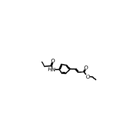 CCOC(=O)C=Cc1ccc(NC(=O)CC)cc1